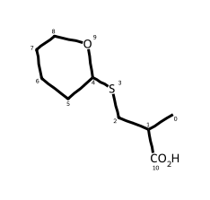 CC(CSC1CCCCO1)C(=O)O